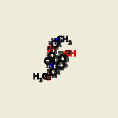 CCN(Cc1ccc(OC2CCN(C)CC2)cc1)C1C=C(OC)C=CC1[C@@H]1CCc2cc(O)ccc2C1